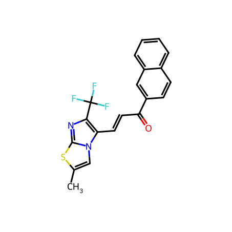 Cc1cn2c(C=CC(=O)c3ccc4ccccc4c3)c(C(F)(F)F)nc2s1